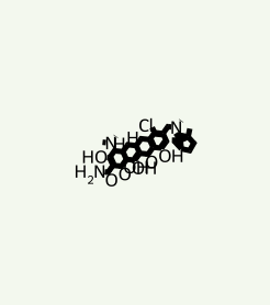 CN(C)[C@@H]1C(O)=C(C(N)=O)C(=O)[C@@]2(O)C(O)=C3C(=O)c4c(O)cc(CN(C)[C@H]5CC6CCC5(C)C6(C)C)c(Cl)c4C[C@H]3C[C@@H]12